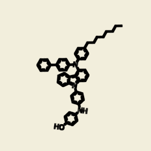 CCCCCCCCc1ccc(N(c2ccc(-c3ccccc3)cc2)c2cccc3c2c2ccccc2n3-c2ccc(Nc3ccc(O)cc3)cc2)cc1